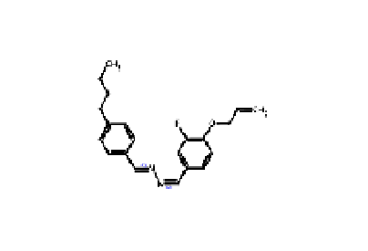 C=CCOc1ccc(/C=N\N=C\c2ccc(CCCC)cc2)cc1F